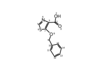 O=C(O)c1ncsc1OCc1ccccc1